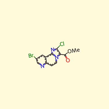 COC(=O)c1c(Cl)nc2c3cc(Br)cnc3ccn12